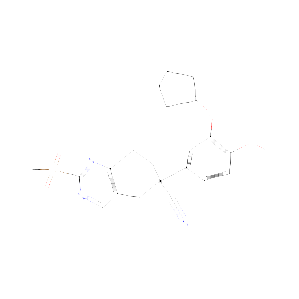 COc1ccc(C2(C#N)CCc3nc(S(C)(=O)=O)ncc3C2)cc1OC1CCCC1